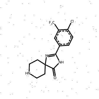 O=C1NC(c2ccc(Cl)c(C(F)(F)F)c2)=NC12CCNCC2